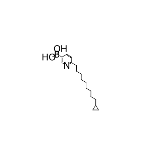 OB(O)c1ccc(CCCCCCCCCC2CC2)nc1